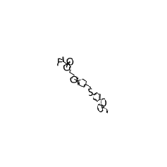 C=CC(=O)Oc1ccc(SCc2ccc(OCCCOC(=O)C(=C)F)cc2)cc1